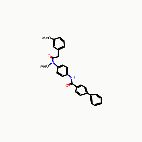 COc1cccc(CC(=O)N(OC)c2ccc(NC(=O)c3ccc(-c4ccccc4)cc3)cc2)c1